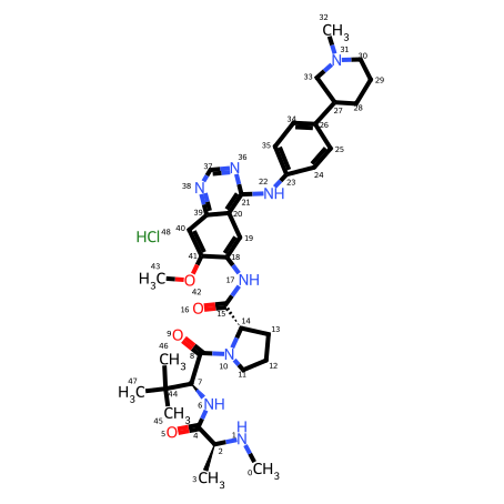 CN[C@@H](C)C(=O)N[C@H](C(=O)N1CCC[C@H]1C(=O)Nc1cc2c(Nc3ccc(C4CCCN(C)C4)cc3)ncnc2cc1OC)C(C)(C)C.Cl